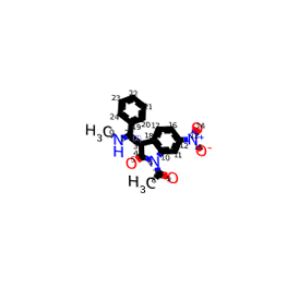 CN/C(=C1\C(=O)N(C(C)=O)c2cc([N+](=O)[O-])ccc21)c1ccccc1